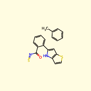 Cc1ccccc1.O=C(N=S)c1ccccc1-c1cc2sccc2[nH]1